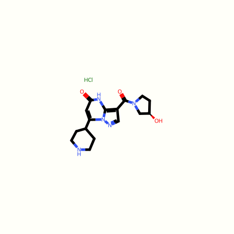 Cl.O=C(c1cnn2c(C3CCNCC3)cc(=O)[nH]c12)N1CC[C@@H](O)C1